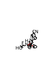 CC(C)(O)[C@H](F)CNC(=O)c1cnc(-c2ccc3cc(C#N)cnn23)cc1NC1C2CCC1CN(S(C)(=O)=O)C2